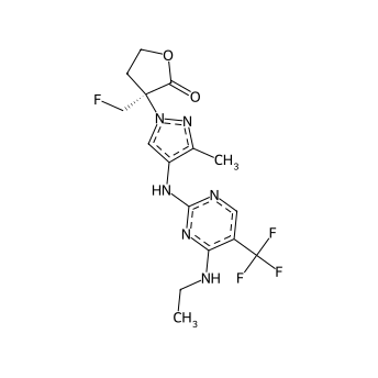 CCNc1nc(Nc2cn([C@@]3(CF)CCOC3=O)nc2C)ncc1C(F)(F)F